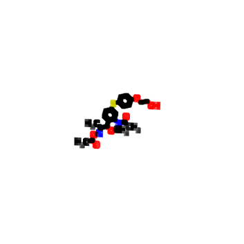 CC(=O)O/N=C(\C)C(=O)c1ccc(Sc2ccc(OCCO)cc2)cc1N(C)C(C)=O